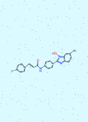 CC(=O)c1ccc2nc(-c3ccc(NC(=O)/C=C/c4ccc(F)cc4)cc3)n(O)c2c1